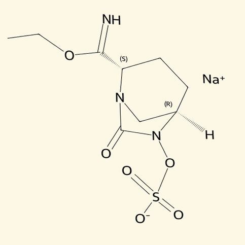 CCOC(=N)[C@@H]1CC[C@@H]2CN1C(=O)N2OS(=O)(=O)[O-].[Na+]